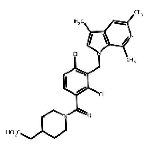 Cc1cn(Cc2c(Cl)ccc(C(=O)N3CCC(CC(=O)O)CC3)c2Cl)c2c(C)nc(C(F)(F)F)cc12